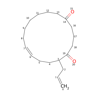 C=CCC1CCC=CCCCCCCC(=O)CCCC1=O